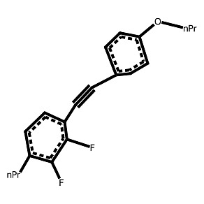 CCCOc1ccc(C#Cc2ccc(CCC)c(F)c2F)cc1